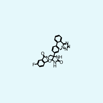 Cn1nnnc1-c1ccccc1-c1ccc(C2(CN3Cc4ccc(F)cc4C3=O)NC(=O)NC2=O)cc1